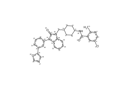 Cc1ncc(Cl)cc1C(=O)NC1CCC(Cn2c(=O)n(-c3ccnc(-c4cnco4)c3)c3ccccc32)CC1